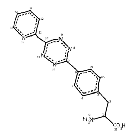 NC(Cc1ccc(-c2nnc(-c3ccccn3)nn2)cc1)C(=O)O